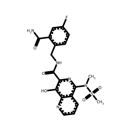 CN(c1nc(C(=O)NCc2ccc(F)cc2C(N)=O)c(O)c2ncccc12)S(C)(=O)=O